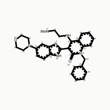 CNCCNc1c(-c2nc3cc(N4CCOCC4)ccc3[nH]2)c(=O)n(Cc2ccccc2)c2ccccc12